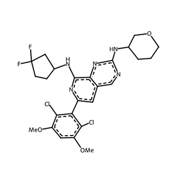 COc1cc(OC)c(Cl)c(-c2cc3cnc(NC4CCCOC4)nc3c(NC3CCC(F)(F)C3)n2)c1Cl